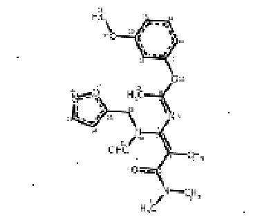 C/C(C(=O)N(C)C)=C(\N=C(/C)Oc1cccc(OC(F)(F)F)c1)N(C=O)Cc1ccno1